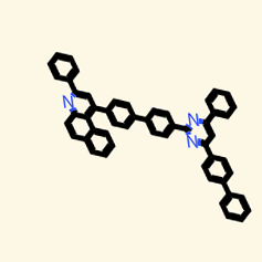 c1ccc(-c2ccc(-c3cc(-c4ccccc4)nc(-c4ccc(-c5ccc(-c6cc(-c7ccccc7)nc7ccc8ccccc8c67)cc5)cc4)n3)cc2)cc1